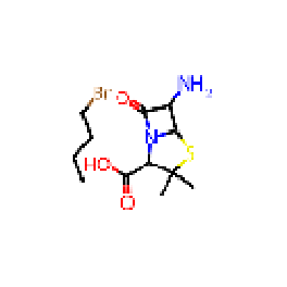 CC1(C)SC2C(N)C(=O)N2C1C(=O)O.CCCCBr